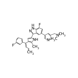 C=C/C=C(/c1cccc(F)c1)c1cc(-c2n[nH]c3c(F)cc(-c4cncc(CN(C)C)c4)cc23)[nH]c1C